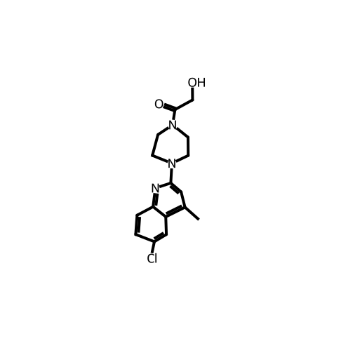 Cc1cc(N2CCN(C(=O)CO)CC2)nc2ccc(Cl)cc12